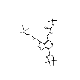 CC(C)(C)OC(=O)NCc1ccc(B2OC(C)(C)C(C)(C)O2)c2cnn(COCC[Si](C)(C)C)c12